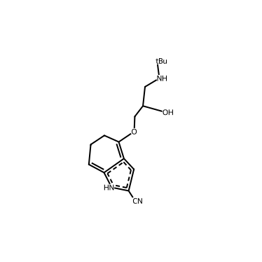 CC(C)(C)NCC(O)COC1=c2cc(C#N)[nH]c2=CCC1